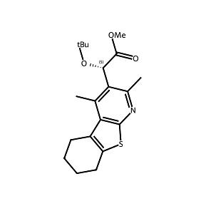 COC(=O)[C@@H](OC(C)(C)C)c1c(C)nc2sc3c(c2c1C)CCCC3